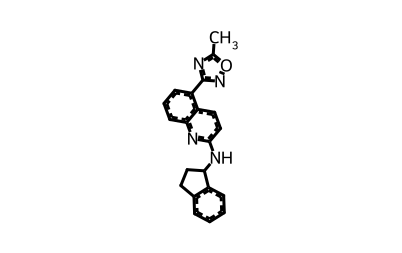 Cc1nc(-c2cccc3nc(NC4CCc5ccccc54)ccc23)no1